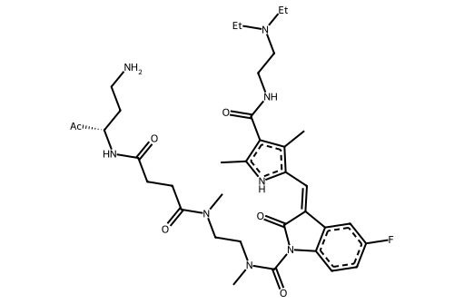 CCN(CC)CCNC(=O)c1c(C)[nH]c(/C=C2\C(=O)N(C(=O)N(C)CCN(C)C(=O)CCC(=O)N[C@@H](CCN)C(C)=O)c3ccc(F)cc32)c1C